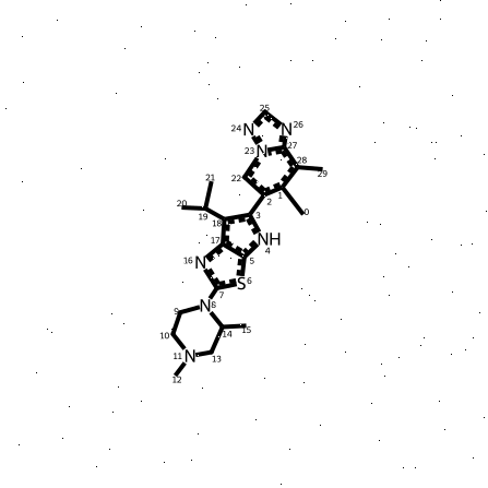 Cc1c(-c2[nH]c3sc(N4CCN(C)CC4C)nc3c2C(C)C)cn2ncnc2c1C